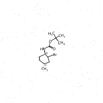 C[C@@H]1C[CH][C@@H](NC(=O)OC(C)(C)C)C(Br)C1